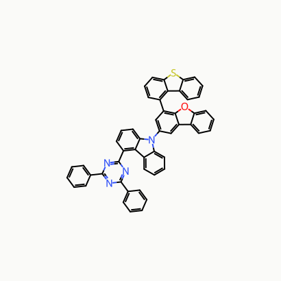 c1ccc(-c2nc(-c3ccccc3)nc(-c3cccc4c3c3ccccc3n4-c3cc(-c4cccc5sc6ccccc6c45)c4oc5ccccc5c4c3)n2)cc1